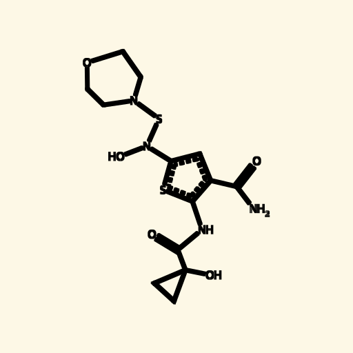 NC(=O)c1cc(N(O)SN2CCOCC2)sc1NC(=O)C1(O)CC1